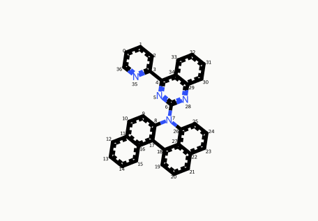 c1ccc(-c2nc(N3c4ccc5ccccc5c4-c4cccc5cccc3c45)nc3ccccc23)nc1